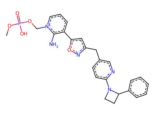 COP(=O)(O)OC[n+]1cccc(-c2cc(Cc3ccc(N4CCC4c4ccccc4)nc3)no2)c1N